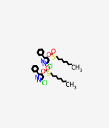 CCCCCCCCSC(=O)Oc1cc(Cl)nnc1-c1ccccc1.CCCCCCCCSC(=O)Oc1cc(Cl)nnc1-c1ccccc1